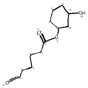 O=CCCCCC(=O)OC1CCCC(O)C1